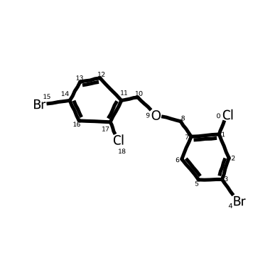 Clc1cc(Br)ccc1COCc1ccc(Br)cc1Cl